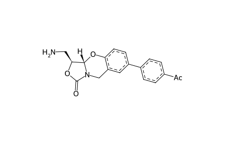 CC(=O)c1ccc(-c2ccc3c(c2)CN2C(=O)O[C@@H](CN)[C@@H]2O3)cc1